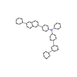 c1ccc(-c2cccc(-c3ccc(N(c4ccccc4)c4ccc(-c5ccc6cc(-c7ccccc7)ccc6c5)cc4)cc3)c2)cc1